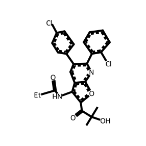 CCC(=O)Nc1c(C(=O)C(C)(C)O)oc2nc(-c3ccccc3Cl)c(-c3ccc(Cl)cc3)cc12